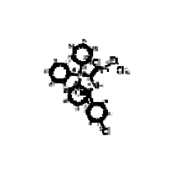 CCSC(Cl)=C(NC(=O)c1ccc(Cl)cc1)[P+](c1ccccc1)(c1ccccc1)c1ccccc1.[Cl-]